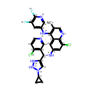 N#Cc1cnc2c(Cl)cc(N[C@H](C3=CN(C4CC4)NN3)c3cnccc3Cl)cc2c1Nc1cnc(F)c(F)c1